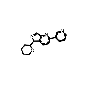 C1=NC(C2CCCCO2)c2ccc(-c3cccnc3)nc21